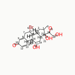 CC1C[C@H]2[C@@H]3C(Br)CC4=CC(=O)C=C[C@]4(C)[C@H]3C(O)C[C@]2(C)[C@@]1(O)C(=O)CO